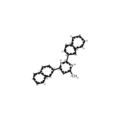 Cc1cc(-c2ccc3ccccc3c2)nc(-c2ccc3ccccc3c2)n1